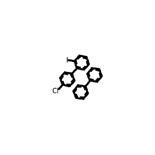 Clc1ccc(-c2ccccc2I)cc1.c1ccc(-c2ccccc2)cc1